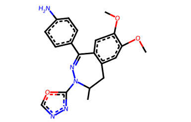 COc1cc2c(cc1OC)C(c1ccc(N)cc1)=NN(c1nnco1)C(C)C2